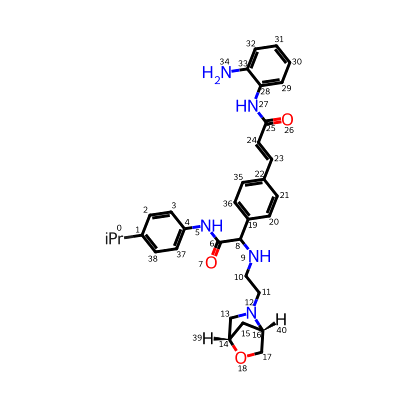 CC(C)c1ccc(NC(=O)C(NCCN2C[C@@H]3C[C@H]2CO3)c2ccc(/C=C/C(=O)Nc3ccccc3N)cc2)cc1